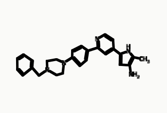 Cc1[nH]c(-c2ccnc(-c3ccc(N4CCN(Cc5ccccc5)CC4)cc3)c2)cc1N